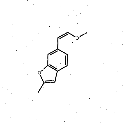 CO/C=C\c1ccc2cc(C)oc2c1